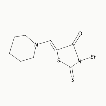 CCN1C(=O)C(=CN2CCCCC2)SC1=S